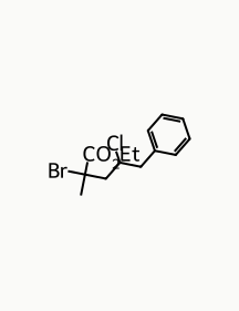 CCOC(=O)C(C)(Br)CC(Cl)Cc1ccccc1